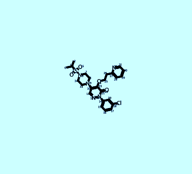 CC(C)S(=O)(=O)N1CCN(c2cnn(-c3cccc(Cl)c3)c(=O)c2OCCc2ccccn2)CC1